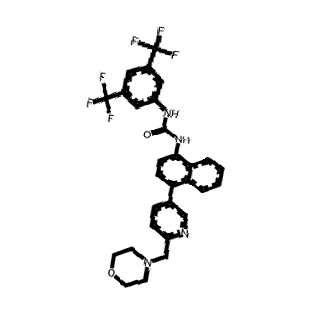 O=C(Nc1cc(C(F)(F)F)cc(C(F)(F)F)c1)Nc1ccc(-c2ccc(CN3CCOCC3)nc2)c2ccccc12